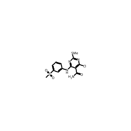 CSc1nc(Cl)c(C(N)=O)c(Nc2cccc(S(C)(=O)=O)c2)n1